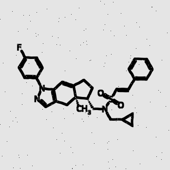 C[C@]12Cc3cnn(-c4ccc(F)cc4)c3C=C1CC[C@@H]2CN(CC1CC1)S(=O)(=O)/C=C/c1ccccc1